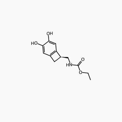 CCOC(=O)NC[C@H]1Cc2cc(O)c(O)cc21